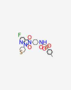 Cc1ccc(S(=O)(=O)CC(=O)N[C@H]2CC[C@@H](n3c(=O)c4cc(F)cnc4n(C4CCSCC4)c3=O)CC2)cc1